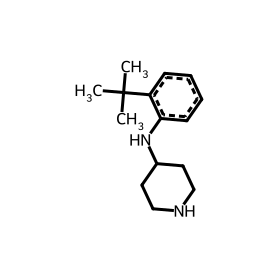 CC(C)(C)c1ccccc1NC1CCNCC1